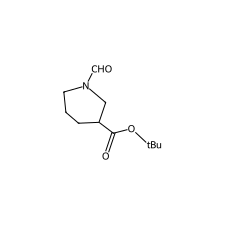 CC(C)(C)OC(=O)C1CCCN(C=O)C1